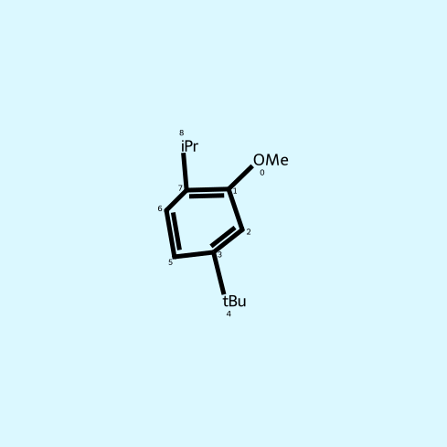 COc1cc(C(C)(C)C)ccc1C(C)C